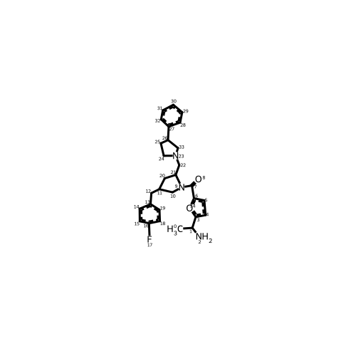 CC(N)c1ccc(C(=O)N2CC(Cc3ccc(F)cc3)CC2CN2CCC(c3ccccc3)C2)o1